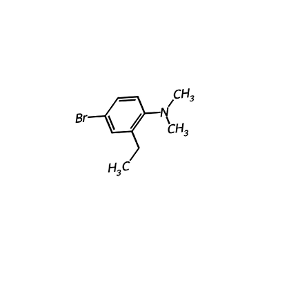 CCc1cc(Br)ccc1N(C)C